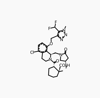 C[C@@H]1CC(=O)N(C[C@@H]2c3c(OCc4nnn(C)c4C(F)F)ccc(Cl)c3CCN2C(=O)[C@H]2CCCC[C@]2(C)C(=O)O)C1